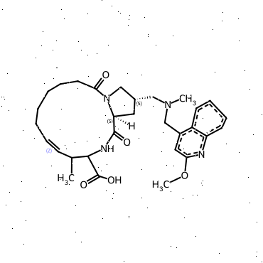 COc1cc(CN(C)C[C@@H]2C[C@H]3C(=O)NC(C(=O)O)C(C)/C=C\CCCCCC(=O)N3C2)c2ccccc2n1